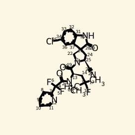 CN(C(=O)C(F)(F)c1ccccn1)[C@H](CC(C)(C)F)C(=O)N1C[C@]2(C[C@H]1C#N)C(=O)Nc1ccc(Cl)cc12